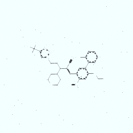 CCOc1cc([N+](=O)[O-])c(C=C(C#N)C(CCn2cc(C(C)(C)C)nn2)C2CCOCC2)cc1-c1ccccc1F